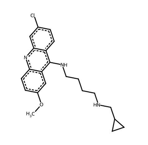 COc1ccc2nc3cc(Cl)ccc3c(NCCCCNCC3CC3)c2c1